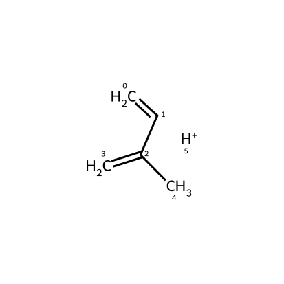 C=CC(=C)C.[H+]